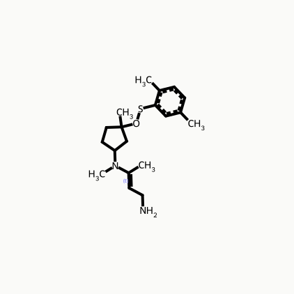 C/C(=C\CN)N(C)C1CCC(C)(OSc2cc(C)ccc2C)C1